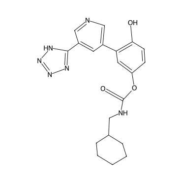 O=C(NCC1CCCCC1)Oc1ccc(O)c(-c2cncc(-c3nnn[nH]3)c2)c1